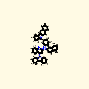 c1ccc2cc3c(cc2c1)c1ccccc1n3-c1ccc2c3c4ccccc4ccc3n(-c3cc(-n4c5ccccc5c5ccccc54)c4ccccc4n3)c2c1